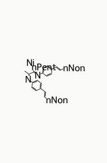 CCCCCCCCCC=Cc1ccc(N=C(C)C(CCCCC)=Nc2ccc(C=CCCCCCCCCC)cc2)cc1.[Ni]